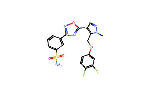 Cn1ncc(-c2nc(-c3cccc(S(N)(=O)=O)c3)no2)c1COc1ccc(F)c(F)c1